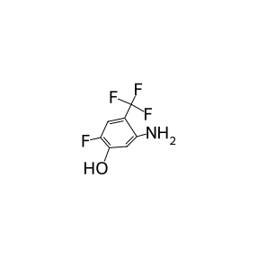 Nc1cc(O)c(F)cc1C(F)(F)F